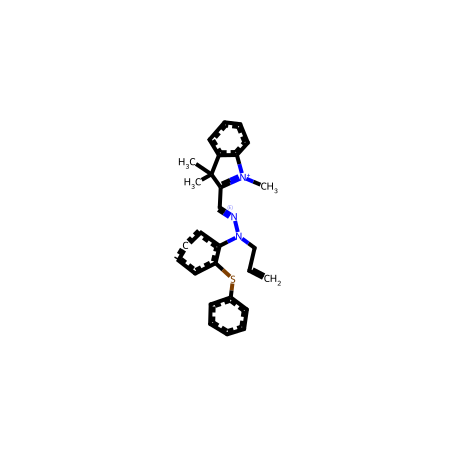 C=CCN(/N=C/C1=[N+](C)c2ccccc2C1(C)C)c1ccccc1Sc1ccccc1